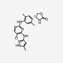 Cc1cc(Nc2nc(Nc3cc(C)c([C@@H]4COC(=O)N4)cc3C)ncc2Cl)n[nH]1